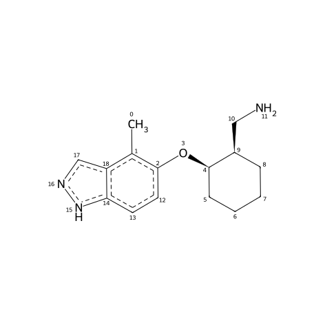 Cc1c(O[C@@H]2CCCC[C@@H]2CN)ccc2[nH]ncc12